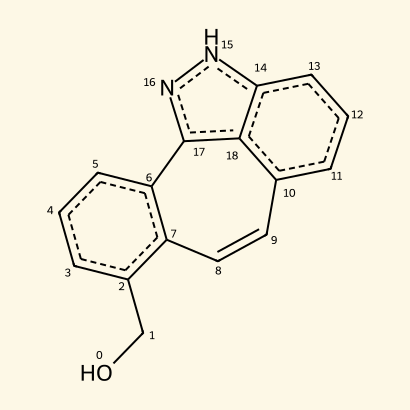 OCc1cccc2c1C=Cc1cccc3[nH]nc-2c13